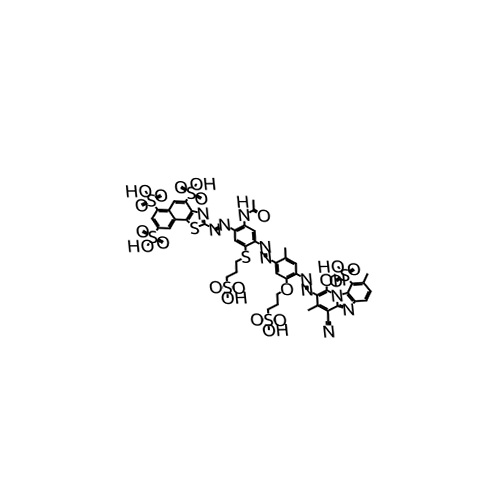 CC(=O)Nc1cc(N=Nc2cc(OCCCS(=O)(=O)O)c(N=Nc3c(C)c(C#N)c4nc5ccc(C)c(S(=O)(=O)O)c5n4c3O)cc2C)c(SCCCS(=O)(=O)O)cc1N=Nc1nc2c(S(=O)(=O)O)cc3c(S(=O)(=O)O)cc(S(=O)(=O)O)cc3c2s1